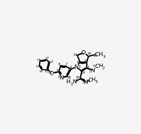 C=Nc1c2c(n(-c3ccc(Oc4ccccc4)nc3)c1/C(N)=N\C)COC2C